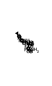 Cc1nc2c(c(-c3cc(C(N)=O)c(O)c(F)c3F)cn2CC(=O)Nc2cc(N3CCN(C4CC4)C[C@@H]3C)ncc2Cl)c(=O)n1C